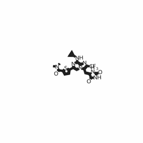 CN(C)C(=O)c1ccc(-c2cn3c(/C=C4\NC(=O)NC4=O)c(C(F)(F)F)nc3c(NC3CC3)n2)s1